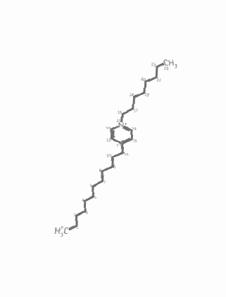 CCCCCCCCCCCCc1cc[n+](CCCCCCCC)cc1